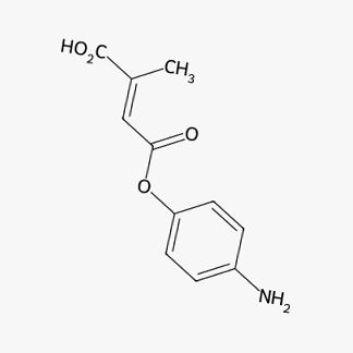 C/C(=C\C(=O)Oc1ccc(N)cc1)C(=O)O